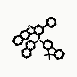 CC1(C)c2ccccc2-c2ccc(N(c3ccc4ccccc4c3)c3cc(-c4ccccc4)cc4oc5cc6ccccc6cc5c34)cc21